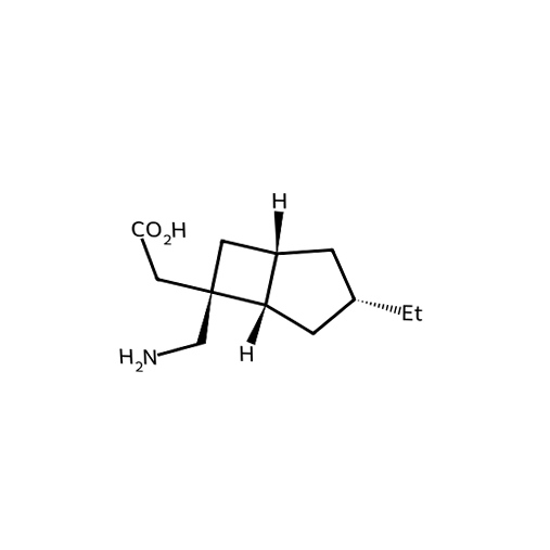 CC[C@H]1C[C@H]2C[C@@](CN)(CC(=O)O)[C@H]2C1